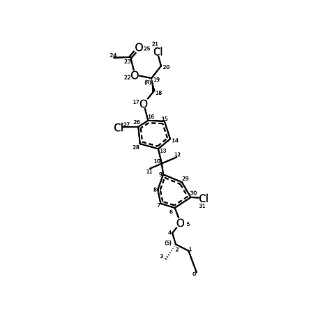 CC[C@H](C)COc1ccc(C(C)(C)c2ccc(OC[C@H](CCl)OC(C)=O)c(Cl)c2)cc1Cl